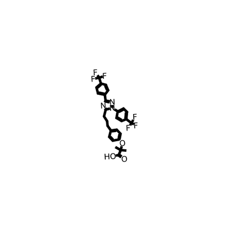 CC(C)(Oc1ccc(CCCc2nc(-c3ccc(C(F)(F)F)cc3)nn2-c2ccc(C(F)(F)F)cc2)cc1)C(=O)O